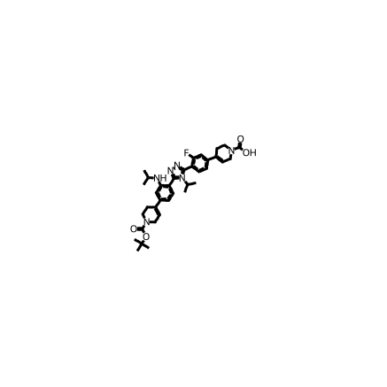 CC(C)Nc1cc(C2=CCN(C(=O)OC(C)(C)C)CC2)ccc1-c1nnc(-c2ccc(C3=CCN(C(=O)O)CC3)cc2F)n1C(C)C